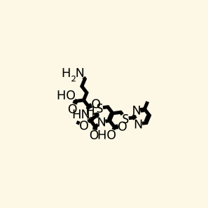 CO[C@@]1(NC(=O)C(CCCN)C(=O)O)C(=O)N2C(C(=O)O)=C(CSc3nccc(C)n3)CS[C@H]21